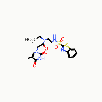 Cc1cn(CC(=O)N(CCNS(=O)(=O)c2nc3ccccc3s2)CC(=O)O)c(=O)[nH]c1=O